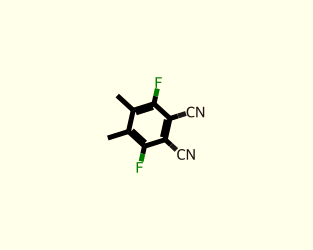 Cc1c(C)c(F)c(C#N)c(C#N)c1F